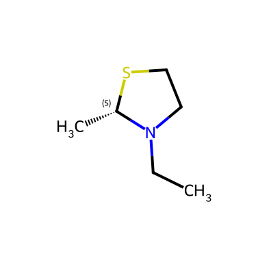 CCN1CCS[C@H]1C